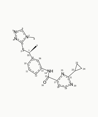 C[C@H](Sc1nncn1C)c1cccc(NC(=O)c2ccnc(C3CC3)n2)c1